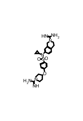 N=C(N)N1CCC(Oc2ccc(S(=O)(=O)N(c3ccc4c(c3)CN(C(=N)N)CC4)C3CC3)cc2)CC1